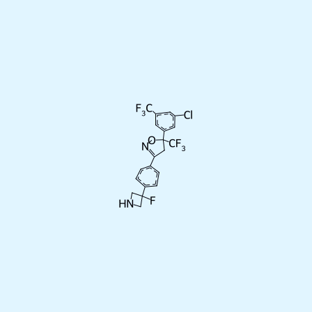 FC(F)(F)c1cc(Cl)cc(C2(C(F)(F)F)CC(c3ccc(C4(F)CNC4)cc3)=NO2)c1